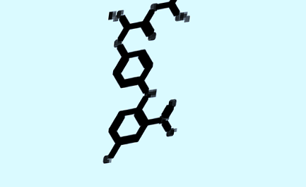 CC(C)OC(=O)C(C)Oc1ccc(Nc2ccc(Cl)cc2[N+](=O)[O-])cc1